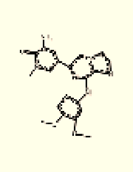 COc1ccc(Nc2nc(-c3cc(N)c(=O)n(C)c3)cn3ccnc23)cc1OC